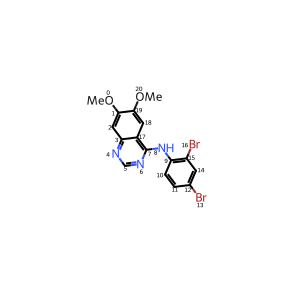 COc1cc2ncnc(Nc3ccc(Br)cc3Br)c2cc1OC